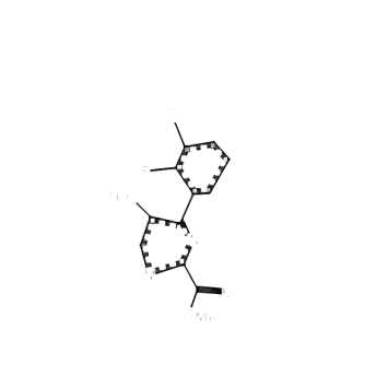 COC(=O)c1ncc(C)c(-c2cccc(F)c2F)n1